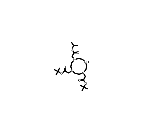 CC(C)OC(=O)CN1CCNCCN(CC(=O)OC(C)(C)C)CCN(CC(=O)OC(C)(C)C)CC1